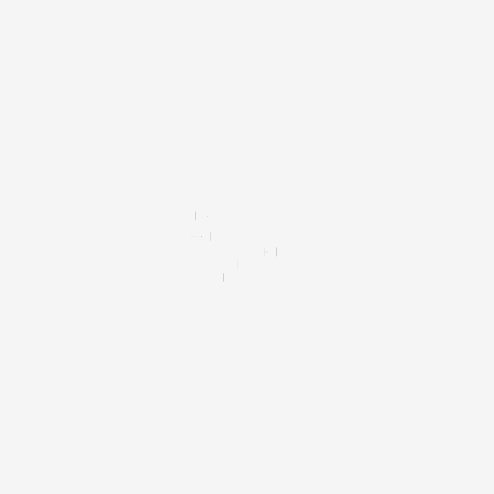 Cl.Cl.Cl.Cl.Cl.[Fe].[Ti]